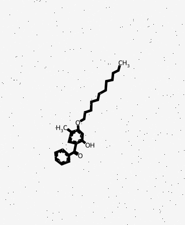 CCCCCCCCCCCCOc1cc(O)c(C(=O)c2ccccc2)cc1C